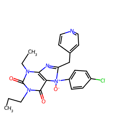 CCCn1c(=O)c2c(n(CC)c1=O)N=C(Cc1ccncc1)[N+]2([O-])c1ccc(Cl)cc1